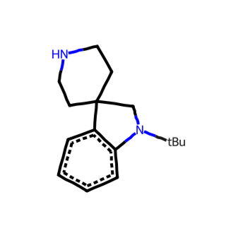 CC(C)(C)N1CC2(CCNCC2)c2ccccc21